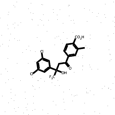 Cc1cc(C(=O)CC(O)(c2cc(Cl)cc(Cl)c2)C(F)(F)F)ccc1C(=O)O